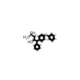 CN(C)CC(O)C(c1ccccc1)c1ccc(Sc2ccccc2)cc1